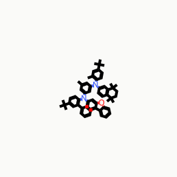 Cc1cc(N(c2ccc3c(c2)C(C)(C)CCC3(C)C)c2ccc(C(C)(C)C)cc2C)cc(N(c2ccc3c(c2)oc2ccccc23)c2ccc(C(C)(C)C)cc2-c2ccccc2)c1